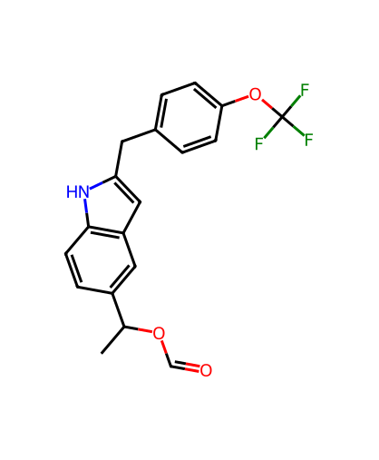 CC(OC=O)c1ccc2[nH]c(Cc3ccc(OC(F)(F)F)cc3)cc2c1